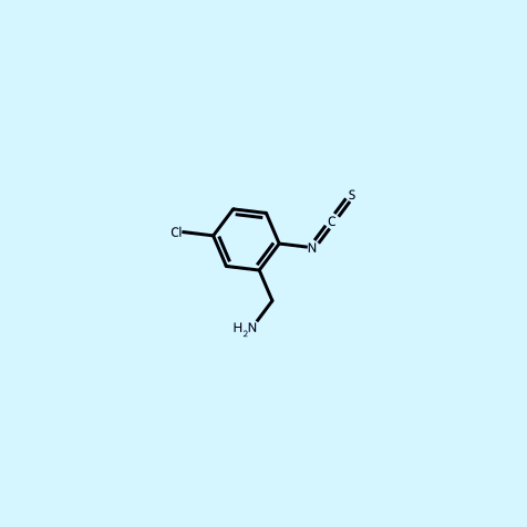 NCc1cc(Cl)ccc1N=C=S